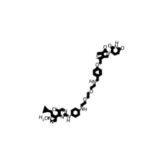 Cn1ncc(-c2nc(N[C@H]3CC[C@H](NCCOCCOCCNCc4ccc(OCc5scc6c5CN([C@H]5CCC(=O)NC5=O)C6=O)cc4)CC3)ncc2Cl)c1CC1CC1